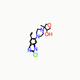 C=Cc1cc2cnc(Cl)nc2cc1N1CCN(C2(C)COCC2O)CC1